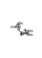 COC(=O)[C@@H]1C[C@@H](OS(=O)(=O)CCCCOC(=O)[C@@H]2C[C@@H](O)CN2C(=O)OC(C)(C)C)CN1C(=O)OC(C)(C)C